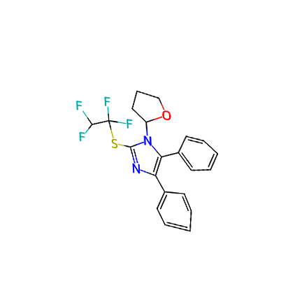 FC(F)C(F)(F)Sc1nc(-c2ccccc2)c(-c2ccccc2)n1C1CCCO1